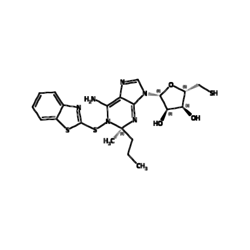 CCC[C@]1(C)N=c2c(ncn2[C@@H]2O[C@H](CS)[C@@H](O)[C@H]2O)=C(N)N1Sc1nc2ccccc2s1